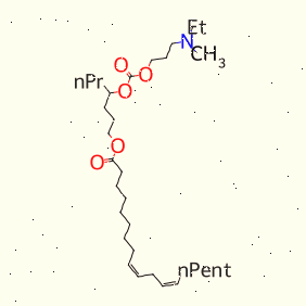 CCCCC/C=C\C/C=C\CCCCCCCC(=O)OCCCC(CCC)OC(=O)OCCCN(C)CC